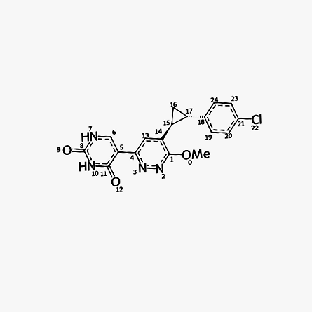 COc1nnc(-c2c[nH]c(=O)[nH]c2=O)cc1[C@H]1C[C@@H]1c1ccc(Cl)cc1